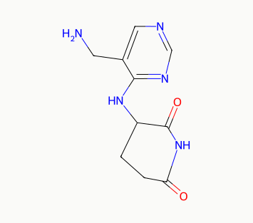 NCc1cncnc1NC1CCC(=O)NC1=O